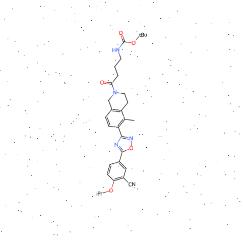 Cc1c(-c2noc(-c3ccc(OC(C)C)c(C#N)c3)n2)ccc2c1CCN(C(=O)CCCNC(=O)OC(C)(C)C)C2